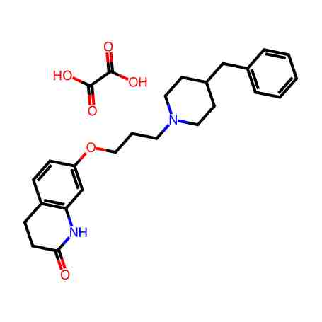 O=C(O)C(=O)O.O=C1CCc2ccc(OCCCN3CCC(Cc4ccccc4)CC3)cc2N1